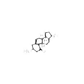 CC(=O)[C@H]1CC[C@H]2[C@@H]3CC=C4CC(O)CC(=O)[C@]4(C)[C@H]3CC[C@]12C